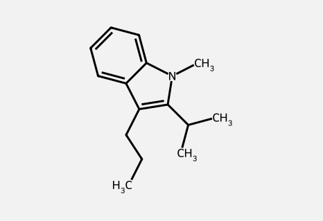 CCCc1c(C(C)C)n(C)c2ccccc12